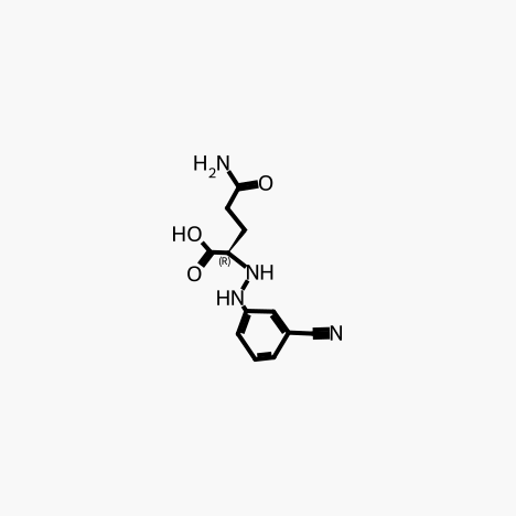 N#Cc1cccc(NN[C@H](CCC(N)=O)C(=O)O)c1